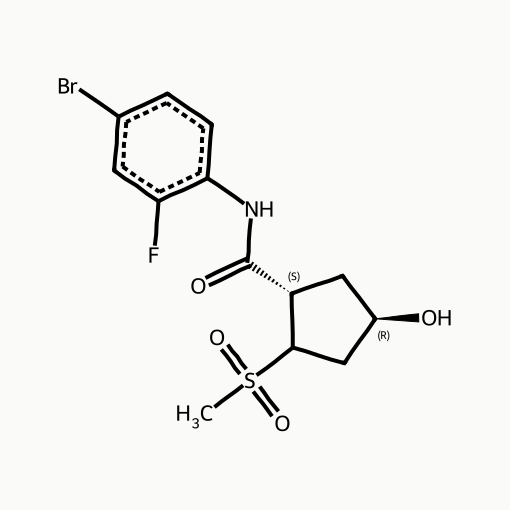 CS(=O)(=O)C1C[C@H](O)C[C@H]1C(=O)Nc1ccc(Br)cc1F